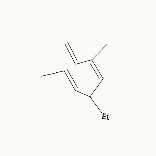 C=CC(C)=CC(C=CC)CC